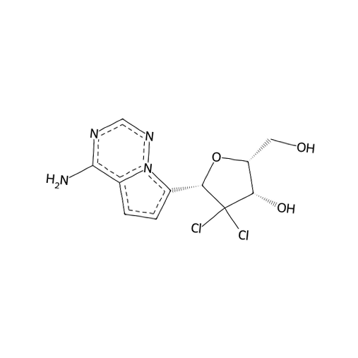 Nc1ncnn2c([C@@H]3O[C@H](CO)[C@H](O)C3(Cl)Cl)ccc12